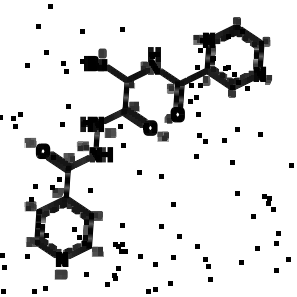 CCC(C)C(NC(=O)c1cnccn1)C(=O)NNC(=O)c1ccncc1